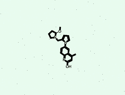 CO[C@H]1CCCN1Cc1cccn1-c1ccc2nc(O)cc(C)c2c1